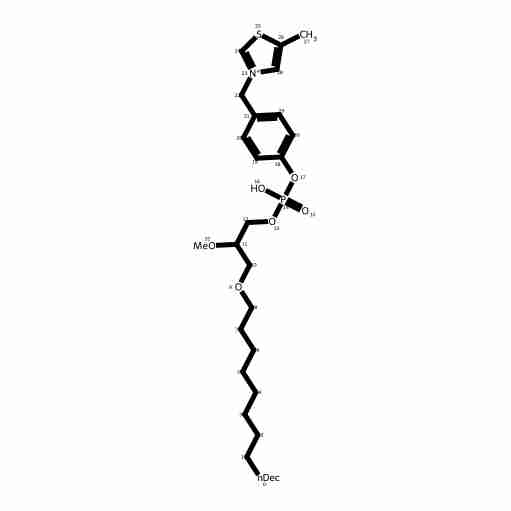 CCCCCCCCCCCCCCCCCCOCC(COP(=O)(O)Oc1ccc(C[n+]2csc(C)c2)cc1)OC